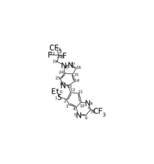 CCSc1cc2ncc(C(F)(F)F)nc2cc1-c1cc2cnn(CC(F)(F)C(F)(F)F)c2cn1